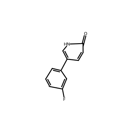 O=c1ccc(-c2cc[c]c(F)c2)c[nH]1